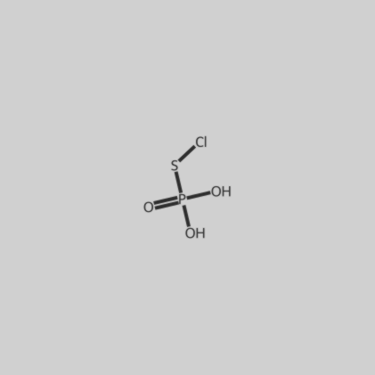 O=P(O)(O)SCl